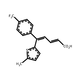 Cc1ccc(/C(=C\C=C\C(=O)O)c2ccc(C(F)(F)F)cc2)s1